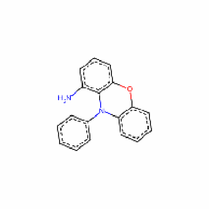 Nc1cccc2c1N(c1ccccc1)c1ccccc1O2